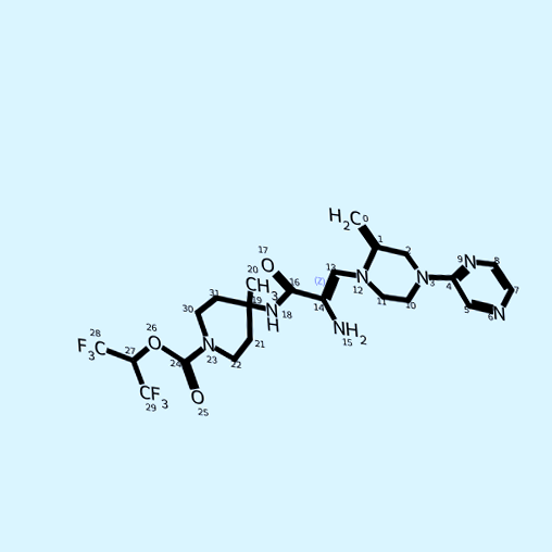 C=C1CN(c2cnccn2)CCN1/C=C(\N)C(=O)NC1(C)CCN(C(=O)OC(C(F)(F)F)C(F)(F)F)CC1